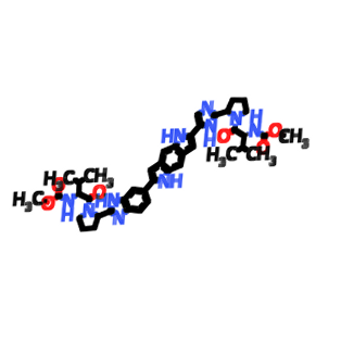 COC(=O)N[C@H](C(=O)N1CCCC1c1nc2ccc(-c3cc4cc5[nH]c(-c6cnc(C7CCCN7C(=O)[C@H](NC(=O)OC)C(C)C)[nH]6)cc5cc4[nH]3)cc2[nH]1)C(C)C